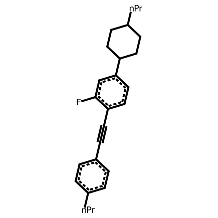 CCCc1ccc(C#Cc2ccc(C3CCC(CCC)CC3)cc2F)cc1